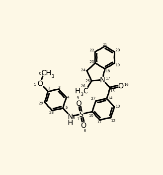 COc1ccc(NS(=O)(=O)c2cccc(C(=O)N3c4ccccc4CC3C)c2)cc1